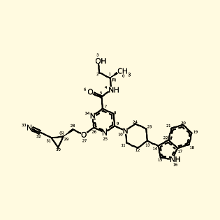 C[C@H](CO)NC(=O)c1cc(N2CCC(c3c[nH]c4ccccc34)CC2)nc(OC[C@H]2CC2C#N)n1